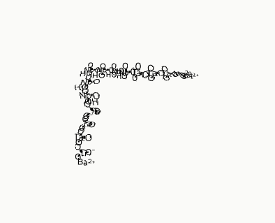 [Ba+2].[Ba+2].[Mg+2].[O]=[Nb](=[O])[OH].[O]=[Nb](=[O])[OH].[O]=[Nb](=[O])[OH].[O]=[Nb](=[O])[OH].[O]=[Nb](=[O])[OH].[O]=[Nb](=[O])[OH].[O]=[Ta](=[O])[O-].[O]=[Ta](=[O])[O-].[O]=[Ta](=[O])[O-].[O]=[Ta](=[O])[O-].[O]=[Ta](=[O])[O-].[O]=[Ta](=[O])[O-].[O]=[Ti]([O-])[O-].[Sr+2]